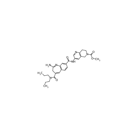 CCCN(CCC)C(=O)C1=Cc2ccc(C(=O)Nc3cnc4c(c3)CN(C(=O)OC)CC4)cc2N=C(N)C1